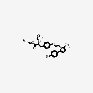 CCOC(=O)C(Cc1ccc(OCCn2c(C)ccc2-c2ccc(Br)cc2)cc1)OCC